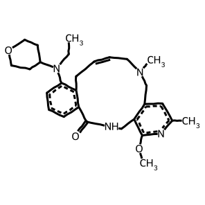 CCN(c1cccc2c1CC=CCN(C)Cc1cc(C)nc(OC)c1CNC2=O)C1CCOCC1